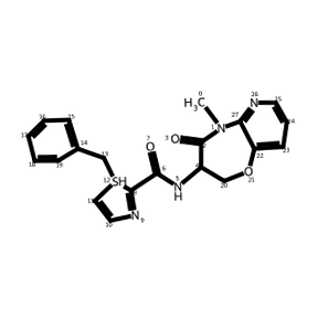 CN1C(=O)C(NC(=O)C2=NC=C[SH]2Cc2ccccc2)COc2cccnc21